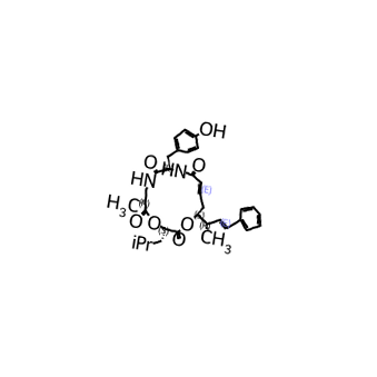 CC(C)C[C@@H]1OC(=O)[C@H](C)CNC(=O)[C@@H](Cc2ccc(O)cc2)NC(=O)/C=C/C[C@@H]([C@H](C)/C=C/c2ccccc2)OC1=O